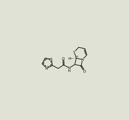 O=C(Cc1nccs1)NC1C(=O)N2C=CCS[C@H]12